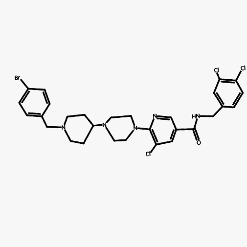 O=C(NCc1ccc(Cl)c(Cl)c1)c1cnc(N2CCN(C3CCN(Cc4ccc(Br)cc4)CC3)CC2)c(Cl)c1